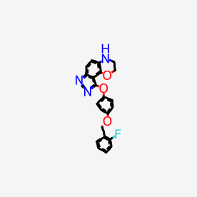 Fc1ccccc1COc1ccc(Oc2ncnc3ccc4c(c23)OCCN4)cc1